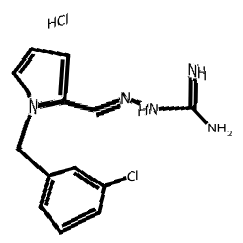 Cl.N=C(N)NN=Cc1cccn1Cc1cccc(Cl)c1